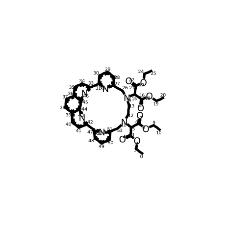 CCOC(=O)C(C(=O)OCC)N1CCN(C(C(=O)OCC)C(=O)OCC)Cc2cccc(n2)-c2ccc3ccc4ccc(nc4c3n2)-c2cccc(n2)C1